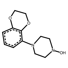 ON1CCN(c2cccc3c2OCCO3)CC1